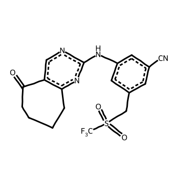 N#Cc1cc(CS(=O)(=O)C(F)(F)F)cc(Nc2ncc3c(n2)CCCCC3=O)c1